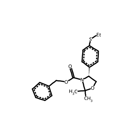 CCSc1ccc([C@@H]2COC(C)(C)N2C(=O)OCc2ccccc2)cc1